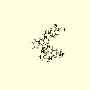 [C-]#[N+]c1cc(CN(Cc2cc3c(cc2N(CC)C[C@H]2CC[C@H](C(=O)O)CC2)CCCC3)c2cc(C)no2)cc(C(F)(F)F)c1